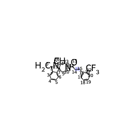 C=C1c2ccccc2C2(CCN(C(=O)/C=C/c3ccccc3C(F)(F)F)CC2)N1C